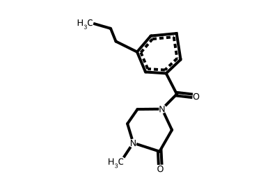 CCCc1cccc(C(=O)N2CCN(C)C(=O)C2)c1